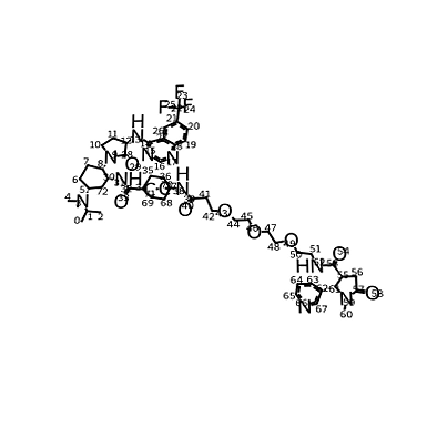 CC(C)N(C)[C@@H]1CC[C@H](N2CC[C@H](Nc3ncnc4ccc(C(F)(F)F)cc34)C2=O)[C@H](NC(=O)C23CCC(NC(=O)CCOCCOCCOCCNC(=O)[C@H]4CC(=O)N(C)[C@@H]4c4cccnc4)(CC2)CC3)C1